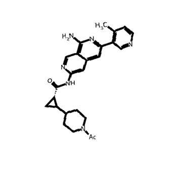 CC(=O)N1CCC(C2C[C@@H]2C(=O)Nc2cc3cc(-c4cnccc4C)nc(N)c3cn2)CC1